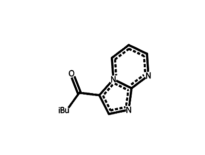 CCC(C)C(=O)c1cnc2ncccn12